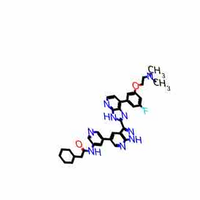 CN(C)CCOc1cc(F)cc(-c2ccnc3[nH]c(-c4n[nH]c5ncc(-c6cncc(NC(=O)CC7CCCCC7)c6)cc45)nc23)c1